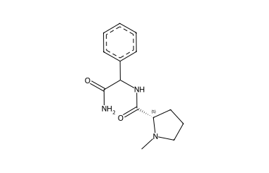 CN1CCC[C@H]1C(=O)NC(C(N)=O)c1ccccc1